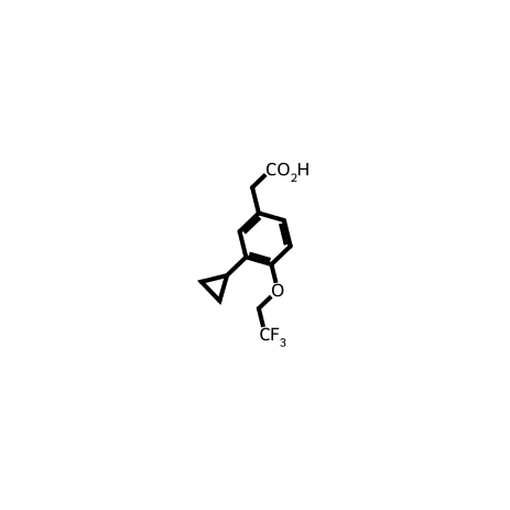 O=C(O)Cc1ccc(OCC(F)(F)F)c(C2CC2)c1